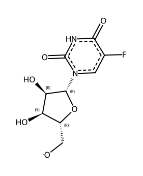 [O]C[C@H]1O[C@@H](n2cc(F)c(=O)[nH]c2=O)[C@H](O)[C@@H]1O